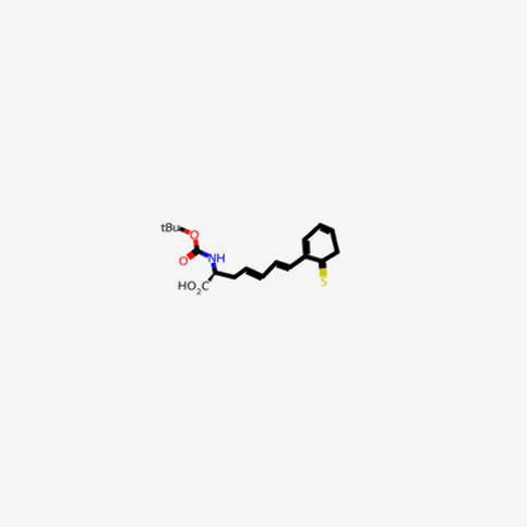 CC(C)(C)OC(=O)N[C@@H](CC=CC=CC1=CC=CCC1=S)C(=O)O